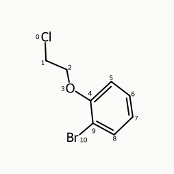 ClCCOc1ccccc1Br